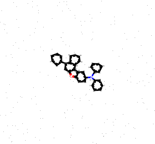 c1ccc(-c2cc3oc4ccc(N(c5ccccc5)c5ccccc5)cc4c3c3ccccc23)cc1